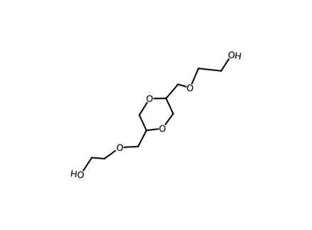 OCCOCC1COC(COCCO)CO1